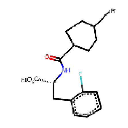 CCOC(=O)[C@@H](Cc1ccccc1F)NC(=O)C1CCC(C(C)C)CC1